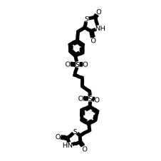 O=C1NC(=O)C(Cc2ccc(S(=O)(=O)CCCCS(=O)(=O)c3ccc(CC4SC(=O)NC4=O)cc3)cc2)S1